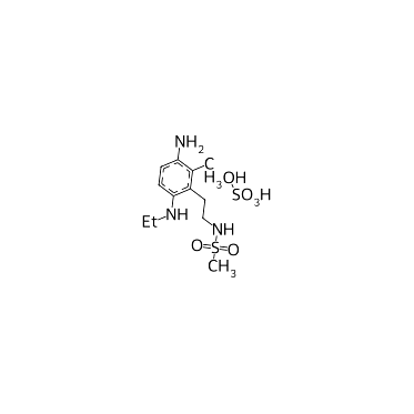 CCNc1ccc(N)c(C)c1CCNS(C)(=O)=O.O=S(=O)(O)O